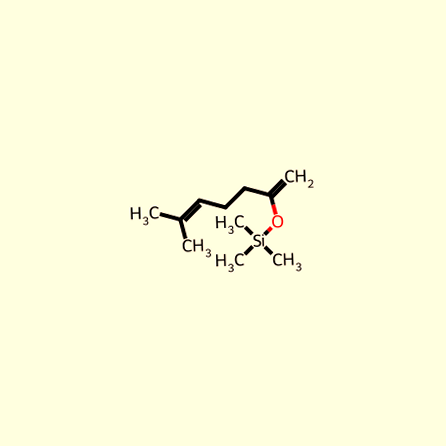 C=C(CCC=C(C)C)O[Si](C)(C)C